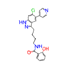 O=C(NCCCCc1n[nH]c2cc(Cl)c(-c3ccncc3)cc12)c1ccccc1O